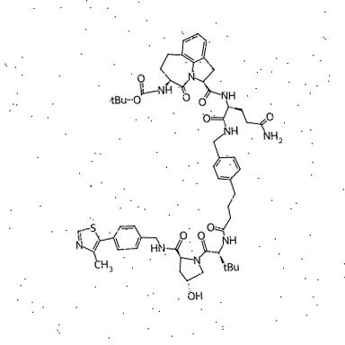 Cc1ncsc1-c1ccc(CNC(=O)[C@@H]2C[C@@H](O)CN2C(=O)[C@@H](NC(=O)CCCc2ccc(CNC(=O)[C@H](CCC(N)=O)NC(=O)[C@@H]3Cc4cccc5c4N3C(=O)[C@@H](NC(=O)OC(C)(C)C)CC5)cc2)C(C)(C)C)cc1